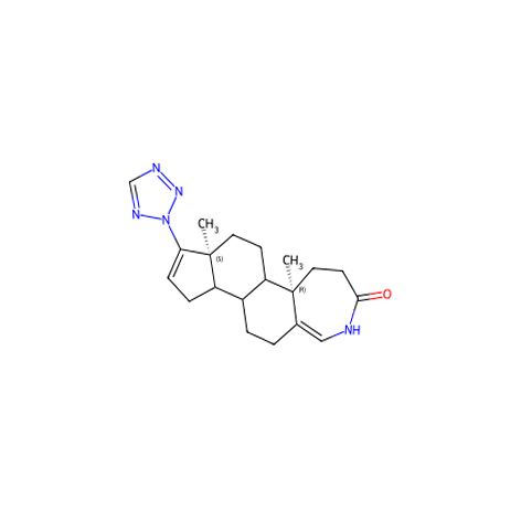 C[C@]12CCC(=O)NC=C1CCC1C2CC[C@]2(C)C(n3ncnn3)=CCC12